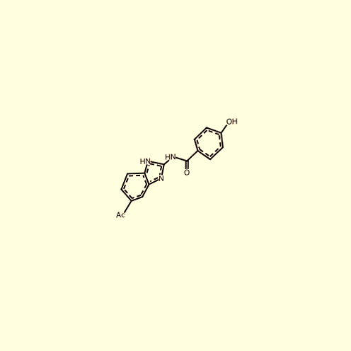 CC(=O)c1ccc2[nH]c(NC(=O)c3ccc(O)cc3)nc2c1